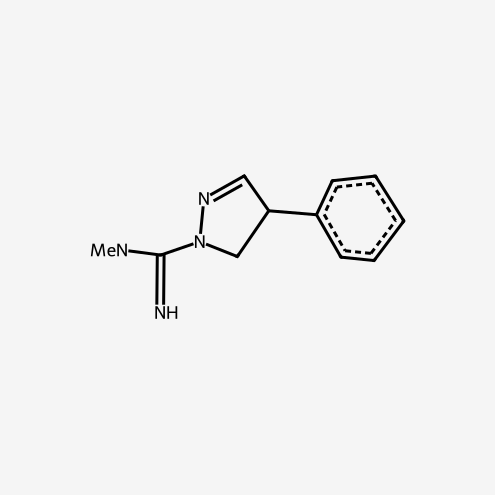 CNC(=N)N1CC(c2ccccc2)C=N1